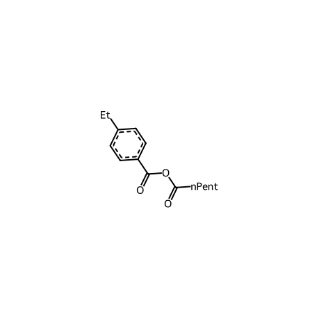 CCCCCC(=O)OC(=O)c1ccc(CC)cc1